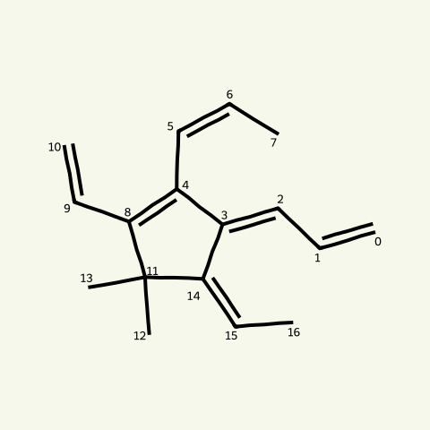 C=C/C=C1/C(/C=C\C)=C(C=C)C(C)(C)/C1=C/C